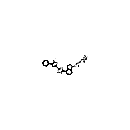 CC(C)(C)[Si](C)(C)OCCN[C@@H]1CCc2c(-c3noc(-c4cc(-c5ccccc5)c(C(F)(F)F)s4)n3)cccc21